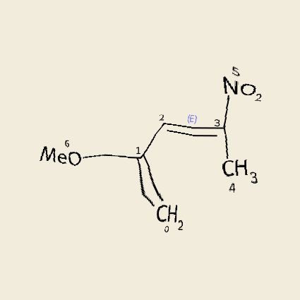 C=C(/C=C(\C)[N+](=O)[O-])OC